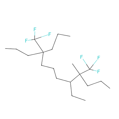 CCCC(CCC)(CCCC(CC)C(C)(CCC)C(F)(F)F)C(F)(F)F